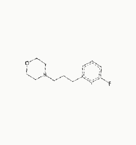 Fc1[c]c(CCCN2CCOCC2)ccc1